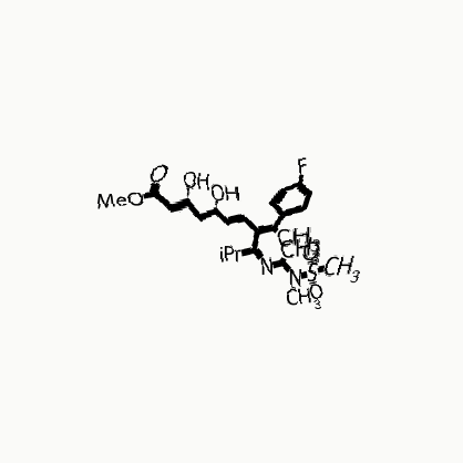 COC(=O)C[C@H](O)C[C@H](O)/C=C/C(C(=N\C(C)N(C)S(C)(=O)=O)/C(C)C)=C(/C)c1ccc(F)cc1